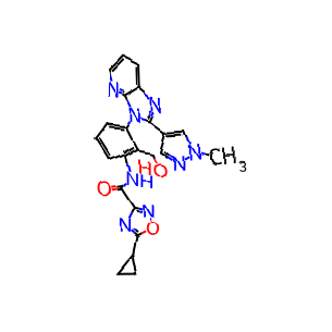 Cn1cc(-c2nc3cccnc3n2-c2cccc(NC(=O)c3noc(C4CC4)n3)c2CO)cn1